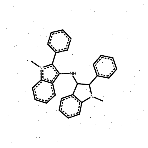 CN1c2ccccc2C(Nc2c(-c3ccccc3)n(C)c3ccccc23)C1c1ccccc1